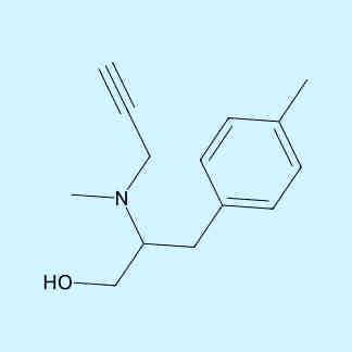 C#CCN(C)C(CO)Cc1ccc(C)cc1